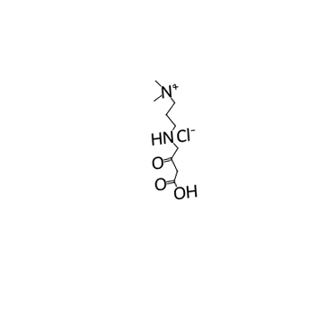 C[N+](C)(C)CCCNCC(=O)CC(=O)O.[Cl-]